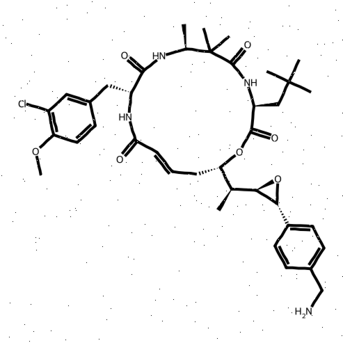 COc1ccc(C[C@H]2NC(=O)/C=C/C[C@@H]([C@H](C)[C@H]3O[C@@H]3c3ccc(CN)cc3)OC(=O)[C@H](CC(C)(C)C)NC(=O)C(C)(C)[C@H](C)NC2=O)cc1Cl